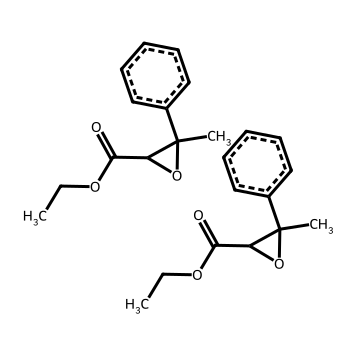 CCOC(=O)C1OC1(C)c1ccccc1.CCOC(=O)C1OC1(C)c1ccccc1